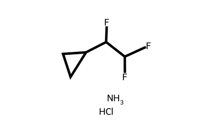 Cl.FC(F)C(F)C1CC1.N